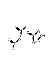 O=[N+]([O-])[O-].O=[N+]([O-])[O-].O=[N+]([O-])[O-].[OH][Fe+3]